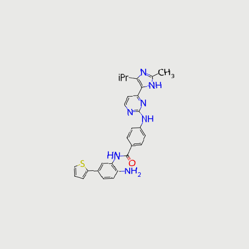 Cc1nc(C(C)C)c(-c2ccnc(Nc3ccc(C(=O)Nc4cc(-c5cccs5)ccc4N)cc3)n2)[nH]1